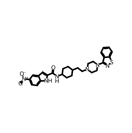 O=C(NC1CCC(CCN2CCN(c3nsc4ccccc34)CC2)CC1)c1[c]c2cc([N+](=O)[O-])ccc2[nH]1